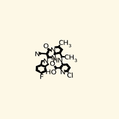 Cc1cc(C(C)Nc2ccc(Cl)nc2C(=O)O)c2nc(N3Cc4ccc(F)cc4C3)c(C#N)c(=O)n2c1